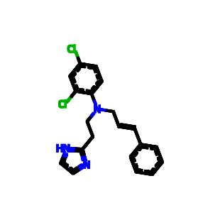 Clc1ccc(N(CC=Cc2ccccc2)CCc2ncc[nH]2)c(Cl)c1